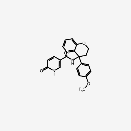 O=C(NC1(c2ccc(OC(F)(F)F)cc2)CCOc2cccnc21)c1ccc(=O)[nH]c1